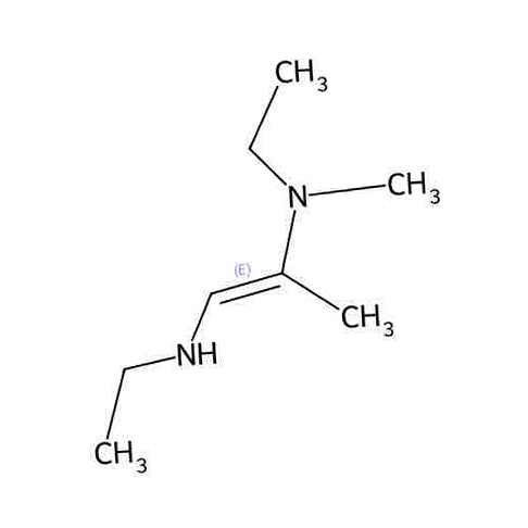 CCN/C=C(\C)N(C)CC